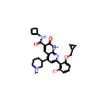 O=C(NC1CCC1)c1cc2c(C3CCCNC3)cc(-c3c(O)cccc3OCC3CC3)nc2[nH]c1=O